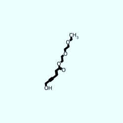 CCOCCOCCOC(=O)C=CC#CCO